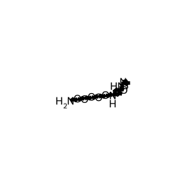 Cc1cc(NCCOCCOCCOCCOCCOCCN)ccc1C(=O)NC1=NCC(C)S1